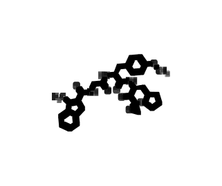 COc1ccc(C[C@H](NC(=O)CNC(=O)C2=C(C)c3ccccc3C2)C(=O)N[C@@H](CC2CCCC2)C(=O)[C@]2(C)CO2)cc1